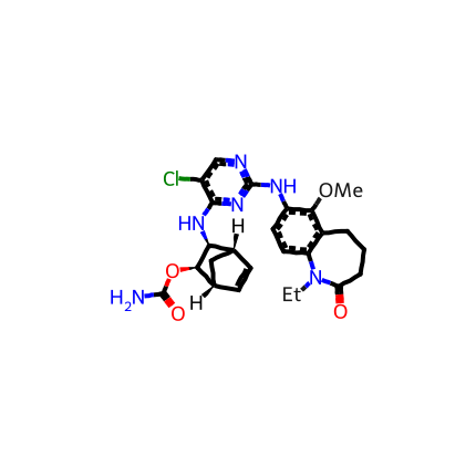 CCN1C(=O)CCCc2c1ccc(Nc1ncc(Cl)c(N[C@@H]3[C@H](OC(N)=O)[C@H]4C=C[C@@H]3C4)n1)c2OC